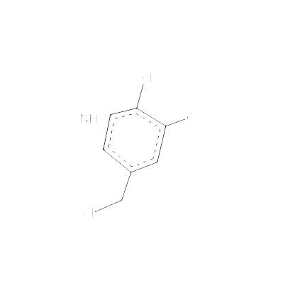 ClCc1ccc(Cl)c(Cl)c1.N